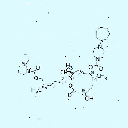 C/C(=C\C=C\[C@@H](C)COC(=O)N1CCC[C@H]1CF)[C@H]1OC(=O)C[C@H](O)CC[C@H](C)[C@@H](OC(=O)N2CCN(C3CCCCCC3)CC2)/C=C/[C@@H]1C